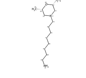 C[C@@H]1CN(CCCCCCCCN)C[C@H](C)O1